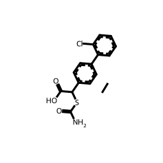 CC.NC(=O)SC(C(=O)O)c1ccc(-c2ccccc2Cl)cc1